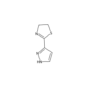 c1cc(C2=NCCS2)n[nH]1